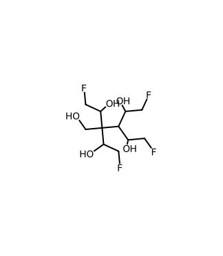 OCC(C(O)CF)(C(O)CF)C(C(O)CF)C(O)CF